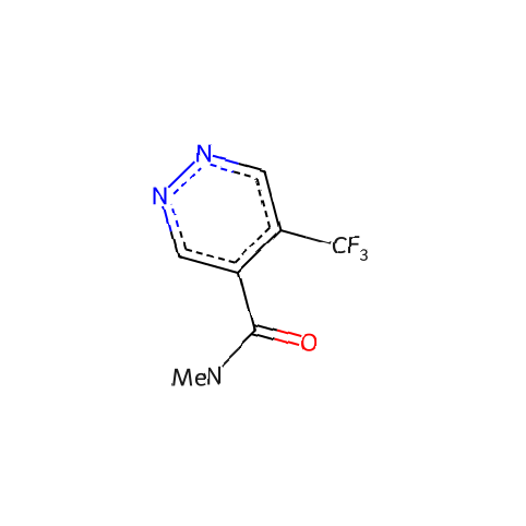 CNC(=O)c1cnncc1C(F)(F)F